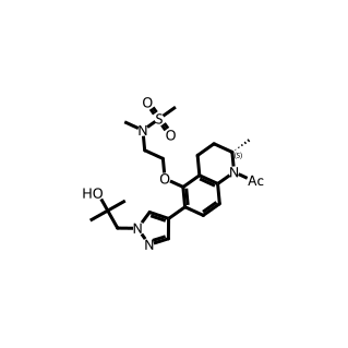 CC(=O)N1c2ccc(-c3cnn(CC(C)(C)O)c3)c(OCCN(C)S(C)(=O)=O)c2CC[C@@H]1C